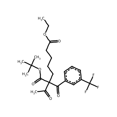 CCOC(=O)CCCCC(C(C)=O)(C(=O)OC(C)(C)C)C(=O)c1cccc(C(F)(F)F)c1